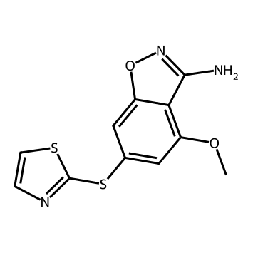 COc1cc(Sc2nccs2)cc2onc(N)c12